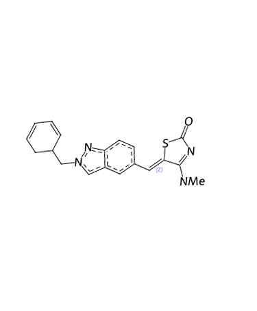 CNC1=NC(=O)S/C1=C\c1ccc2nn(CC3C=CC=CC3)cc2c1